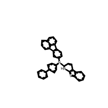 C1=CC(N(c2ccc(-c3ccccc3)cc2)c2ccc3c(c2)-c2cccc4cccc-3c24)Nc2sc3ccccc3c21